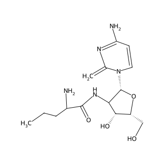 C=C1N=C(N)C=CN1[C@@H]1O[C@H](CO)[C@H](O)C1NC(=O)C(N)CCC